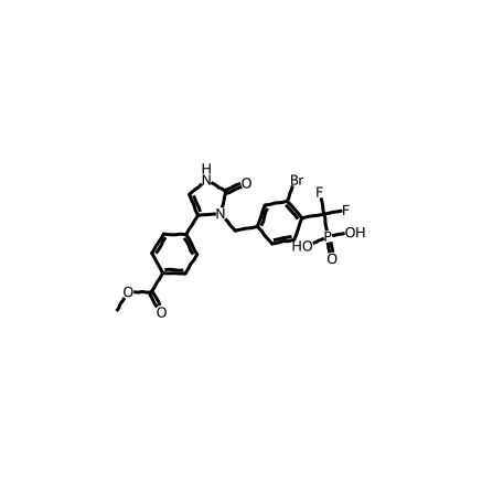 COC(=O)c1ccc(-c2c[nH]c(=O)n2Cc2ccc(C(F)(F)P(=O)(O)O)c(Br)c2)cc1